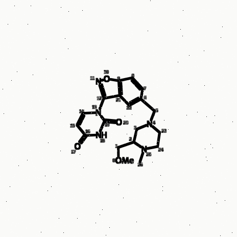 COCC1CN(Cc2ccc3onc(-n4ccc(=O)[nH]c4=O)c3c2)CCN1C